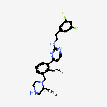 Cc1c(CN2CCNC[C@@H]2C)cccc1-c1ccnc(NCCc2cc(F)cc(F)c2)n1